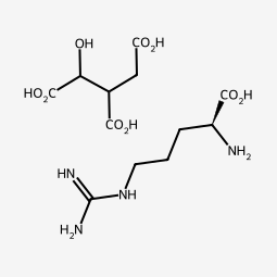 N=C(N)NCCC[C@H](N)C(=O)O.O=C(O)CC(C(=O)O)C(O)C(=O)O